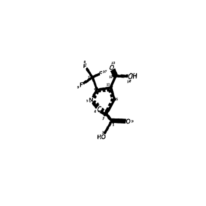 O=C(O)c1cnc(C(F)(F)F)c(C(=O)O)c1